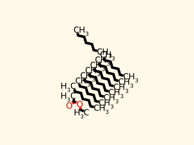 CCCCCCC.CCCCCCC.CCCCCCC.CCCCCCC.CCCCCCC.CCCCCCC.CCCCCCC.CCCCCCC.CCOC(C)=O